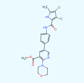 COC(=O)c1cc(-c2ccc(NC(=O)c3[nH]c(C)c(Cl)c3Cl)cc2)cnc1N1CCOCC1